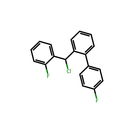 Fc1ccc(-c2ccccc2C(Cl)c2ccccc2F)cc1